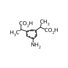 CC(C(=O)O)c1cc(N)cc(C(C)C(=O)O)c1